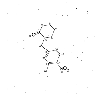 Cc1cc(CC2CCCCC2=O)ccc1[N+](=O)[O-]